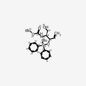 C=C[C@@H](O[Si](c1ccccc1)(c1ccccc1)C(C)(C)C)[C@H](CO)NC(=O)OC(C)(C)C